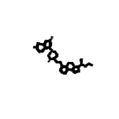 CCOC(=O)c1ncn2c1CCc1c(CCN3CCN(c4cc(F)cc5nc(C)ccc45)C[C@H]3C)cccc1-2